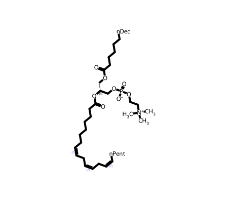 CCCCC/C=C\C/C=C\C/C=C\CCCCCCC(=O)O[C@H](COC(=O)CCCCCCCCCCCCCCC)COP(=O)([O-])OCC[N+](C)(C)C